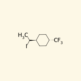 CC(I)[C@H]1CC[C@H](C(F)(F)F)CC1